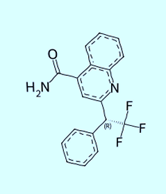 NC(=O)c1cc([C@@H](c2ccccc2)C(F)(F)F)nc2ccccc12